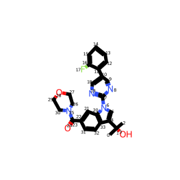 CC(C)(O)c1cn(-c2ncc(-c3ccccc3F)cn2)c2cc(C(=O)N3CCOCC3)ccc12